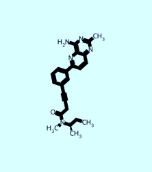 CC[C@@H](C)N(C)C(=O)CC#Cc1cccc(-c2ccc3nc(C)nc(N)c3n2)c1